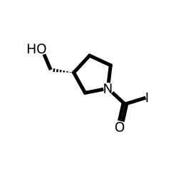 O=C(I)N1CC[C@@H](CO)C1